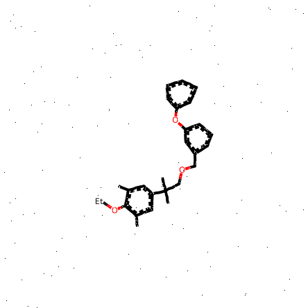 CCOc1c(C)cc(C(C)(C)COCc2cccc(Oc3ccccc3)c2)cc1C